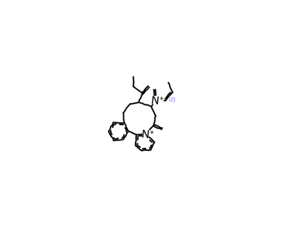 C=C(CC)C1CCc2ccccc2-c2cccc[n+]2C(=C)CC1[N+](=C)/C=C\C